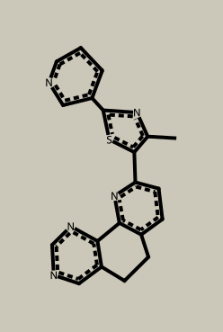 Cc1nc(-c2cccnc2)sc1-c1ccc2c(n1)-c1ncncc1CC2